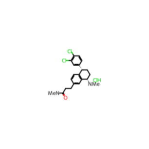 CNC(=O)CCc1ccc2c(c1)[C@@H](NC)CC[C@H]2c1ccc(Cl)c(Cl)c1.Cl